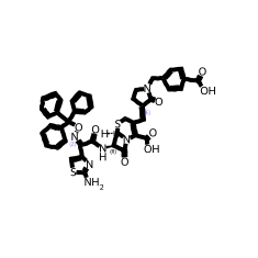 Nc1nc(/C(=N/OC(c2ccccc2)(c2ccccc2)c2ccccc2)C(=O)N[C@@H]2C(=O)N3C(C(=O)O)=C(/C=C4\CCN(Cc5ccc(C(=O)O)cc5)C4=O)CS[C@H]23)cs1